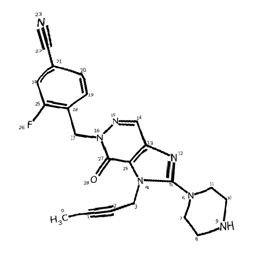 CC#CCn1c(N2CCNCC2)nc2cnn(Cc3ccc(C#N)cc3F)c(=O)c21